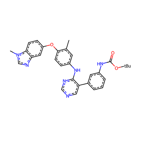 Cc1cc(Nc2ncncc2-c2cccc(NC(=O)OC(C)(C)C)c2)ccc1Oc1ccc2c(c1)ncn2C